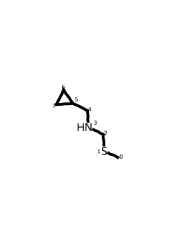 CSCNCC1CC1